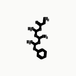 C=CC(=O)OC(C)OC(C)OC(C)Oc1ccccc1